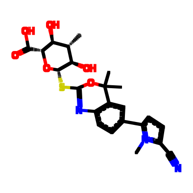 C[C@@H]1[C@@H](O)[C@H](SC2=Nc3ccc(-c4ccc(C#N)n4C)cc3C(C)(C)O2)O[C@H](C(=O)O)[C@H]1O